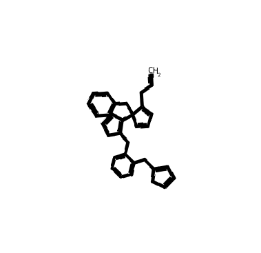 C=CCC1=CC=CC1(Cc1ccccc1)C1=C(Cc2ccccc2CC2=CC=CC2)CC=C1